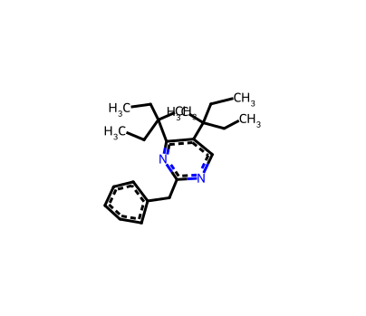 CCC(C)(CC)c1cnc(Cc2ccccc2)nc1C(C)(CC)CC